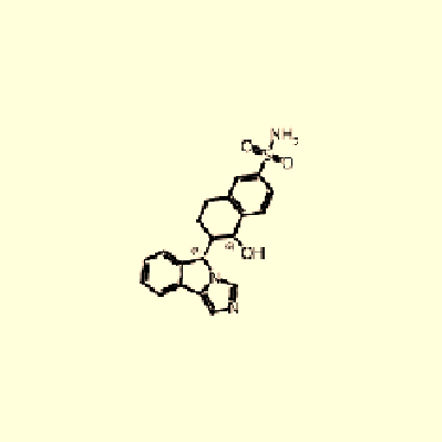 NS(=O)(=O)c1ccc2c(c1)CCC([C@@H]1c3ccccc3-c3cncn31)[C@@H]2O